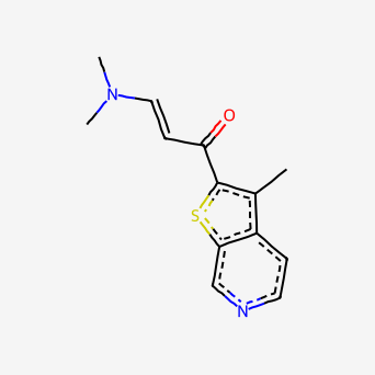 Cc1c(C(=O)C=CN(C)C)sc2cnccc12